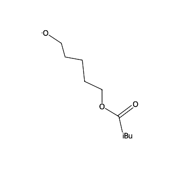 CCC(C)C(=O)OCCCCC[O]